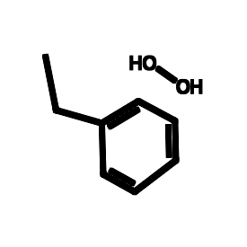 CCc1ccccc1.OO